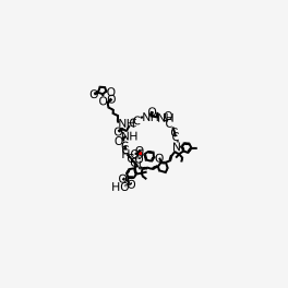 CCC1(C)C2=[N+](CCCCCC(=O)NC(C)C(=O)NCCCCC(C(=O)NCCCCCC(=O)OC3C(=O)CCC3=O)NC(=O)CCCCCN3/C(=C/C=C4\CCCC(=C4Oc4ccc(S(=O)(=O)O)cc4)/C=C/2)C(C)(CC)c2cc(S(=O)(=O)O)ccc23)c2ccc(C)cc21